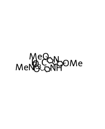 CNC(=O)OCCc1ccc(Nc2c3ccc(OC)cc3nc3cc(OC)c(C)cc23)cc1